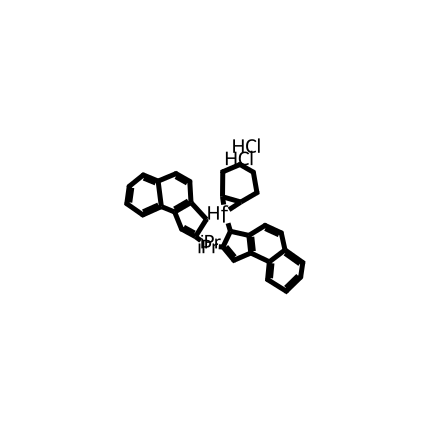 CC(C)C1=Cc2c(ccc3ccccc23)[CH]1[Hf]1([CH]2C(C(C)C)=Cc3c2ccc2ccccc32)[CH]2CCCC[CH]21.Cl.Cl